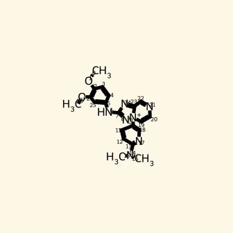 COc1ccc(NC2=N[N+]3(c4ccc(N(C)C)nc4)C=CN=CC3=N2)cc1OC